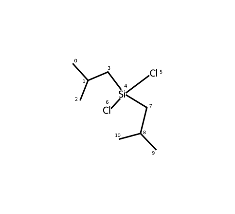 CC(C)C[Si](Cl)(Cl)CC(C)C